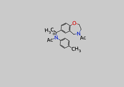 CC(=O)N1CCOc2ccc([C@H](C)N(C(C)=O)c3ccc(C)cc3)cc2C1